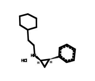 Cl.c1ccc([C@@H]2C[C@H]2NCCC2CCCCC2)cc1